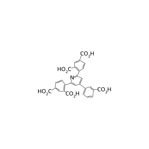 O=C(O)c1cccc(-c2cc(-c3ccc(C(=O)O)cc3C(=O)O)nc(-c3ccc(C(=O)O)cc3C(=O)O)c2)c1